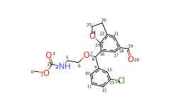 COC(=O)NCCOC(c1cccc(Cl)c1)c1cc(C=O)cc2c1OCC2